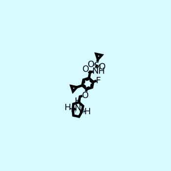 O=C(NS(=O)(=O)C1CC1)c1cc(C2CC2)c(OCC2C[C@H]3CC[C@@H](C2)N3)cc1F